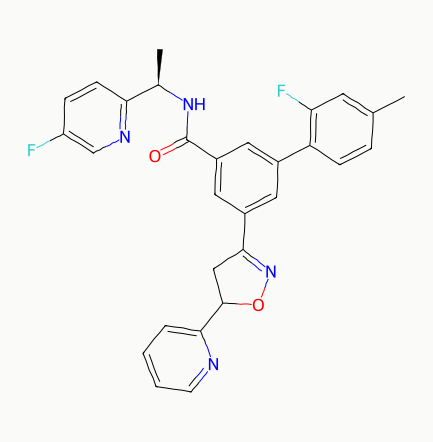 Cc1ccc(-c2cc(C(=O)N[C@H](C)c3ccc(F)cn3)cc(C3=NOC(c4ccccn4)C3)c2)c(F)c1